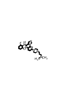 CN(C)CCCN1CCN(c2ccc3nc(Nc4c(F)cccc4Cl)c4cncn4c3n2)CC1